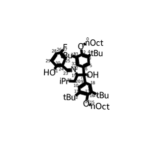 CCCCCCCCOc1c(C(C)(C)C)cc(C(O)(c2cc(C(C)(C)C)c(OCCCCCCCC)c(C(C)(C)C)c2)C(CC(C)C)N=Cc2cc(F)ccc2O)cc1C(C)(C)C